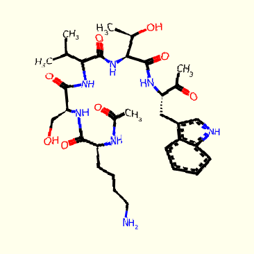 CC(=O)N[C@@H](CCCCN)C(=O)N[C@@H](CO)C(=O)NC(C(=O)N[C@H](C(=O)N[C@@H](Cc1c[nH]c2ccccc12)C(C)=O)[C@@H](C)O)C(C)C